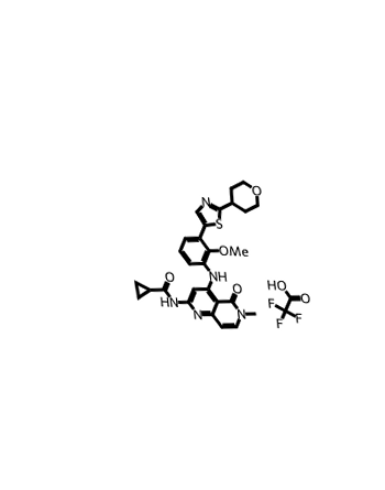 COc1c(Nc2cc(NC(=O)C3CC3)nc3ccn(C)c(=O)c23)cccc1-c1cnc(C2CCOCC2)s1.O=C(O)C(F)(F)F